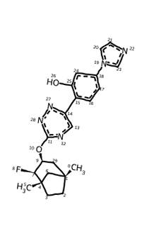 C[C@@]12CC[C@@](C)(C1)[C@@H](F)[C@@H](Oc1ncc(-c3ccc(-n4ccnc4)cc3O)nn1)C2